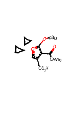 C1CC1.C1CC1.CCCCOc1occ(C(=O)O)c1C(=O)OC